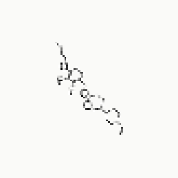 C=CC1CCC(C2CCC(OCc3ccc(OCCCC)c(F)c3F)OC2)CC1